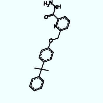 CC(C)(c1ccccc1)c1ccc(OCc2cccc(C(=O)NN)n2)cc1